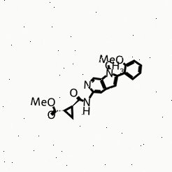 COC(=O)[C@H]1C[C@@H]1C(=O)Nc1cc2cc(-c3ccccc3OC)n(C)c2cn1